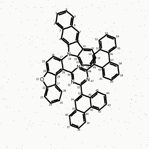 c1ccc2cc3c(cc2c1)c1ccccc1n3-c1ccc2oc3ccccc3c2c1-c1nc(-c2cc3ccccc3c3ccccc23)nc(-c2cc3ccccc3c3ccccc23)n1